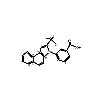 O=C(O)c1cccc(-n2c(C(F)(F)F)cc3c4ccccc4ccc32)c1